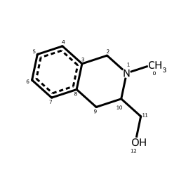 CN1Cc2ccccc2CC1CO